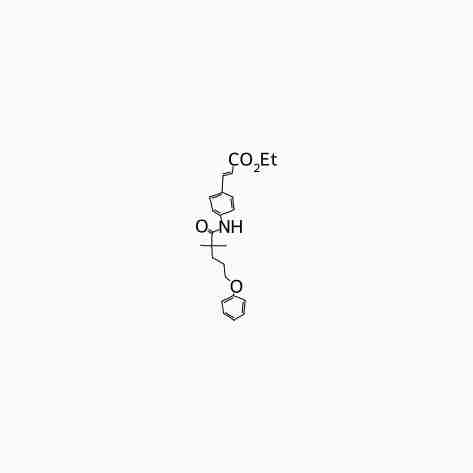 CCOC(=O)/C=C/c1ccc(NC(=O)C(C)(C)CCCOc2ccccc2)cc1